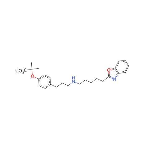 CC(C)(Oc1ccc(CCCNCCCCCc2nc3ccccc3o2)cc1)C(=O)O